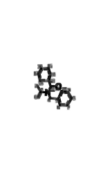 C=C(C)N(Cc1ccccc1)C(=O)c1ccccc1